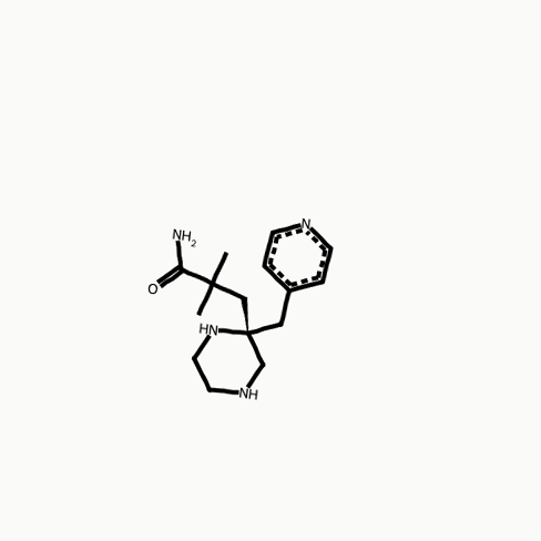 CC(C)(C[C@@]1(Cc2ccncc2)CNCCN1)C(N)=O